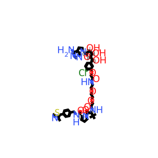 Cc1ncsc1-c1ccc(CNC(=O)[C@@H]2CCCN2C(=O)[C@@H](NC(=O)COCCOCCNC(=O)COc2cc([C@@H](O)[C@H]3O[C@@H](n4ccc5c(N)ncnc54)[C@H](O)[C@@H]3O)ccc2Cl)C(C)(C)C)cc1